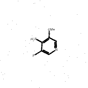 COc1cncc(F)c1N